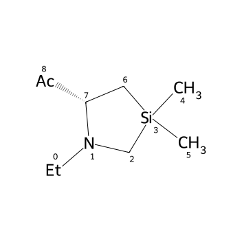 CCN1C[Si](C)(C)C[C@H]1C(C)=O